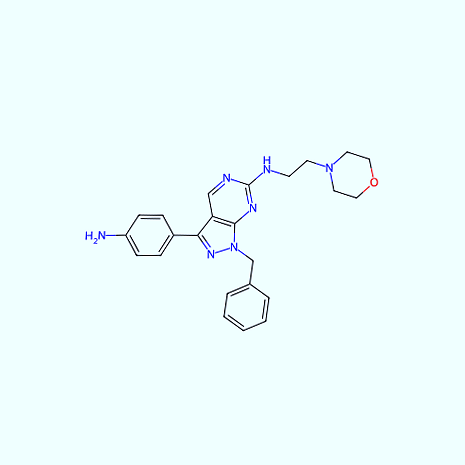 Nc1ccc(-c2nn(Cc3ccccc3)c3nc(NCCN4CCOCC4)ncc23)cc1